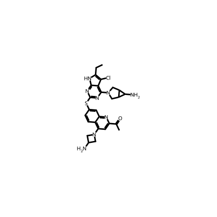 CCc1[nH]c2nc(Sc3ccc4c(N5CC(N)C5)cc(C(C)=O)nc4c3)nc(N3CC4C(N)C4C3)c2c1Cl